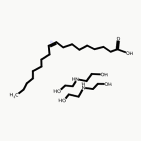 CCCCCCCC/C=C\CCCCCCCC(=O)O.OCCNCCO.OCCNCCO